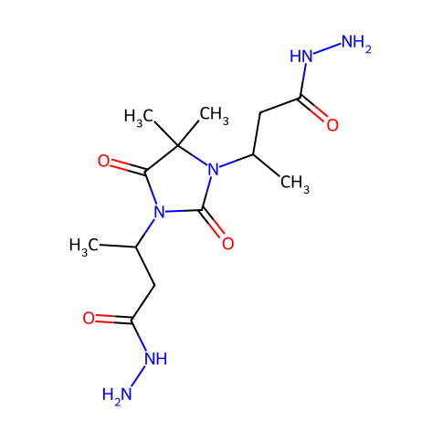 CC(CC(=O)NN)N1C(=O)N(C(C)CC(=O)NN)C(C)(C)C1=O